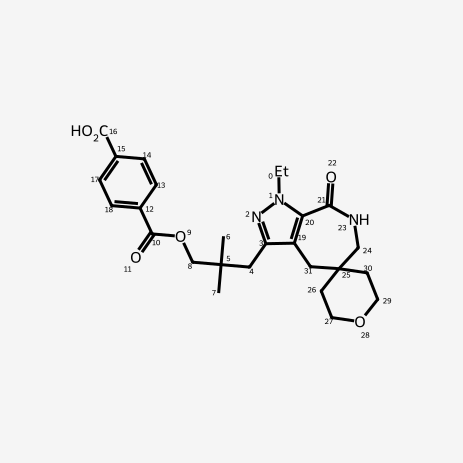 CCn1nc(CC(C)(C)COC(=O)c2ccc(C(=O)O)cc2)c2c1C(=O)NCC1(CCOCC1)C2